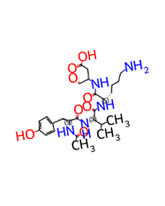 CC(=O)N[C@@H](Cc1ccc(O)cc1)C(=O)N[C@H](C(=O)N[C@@H](CCCCN)C(=O)NC(C=O)CC(=O)O)C(C)C